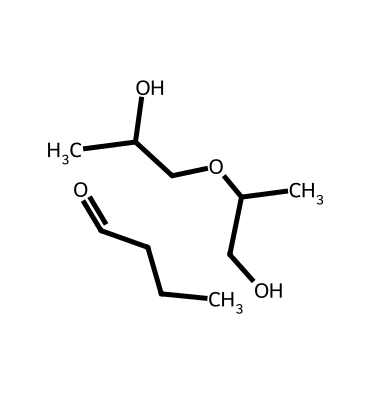 CC(O)COC(C)CO.CCCC=O